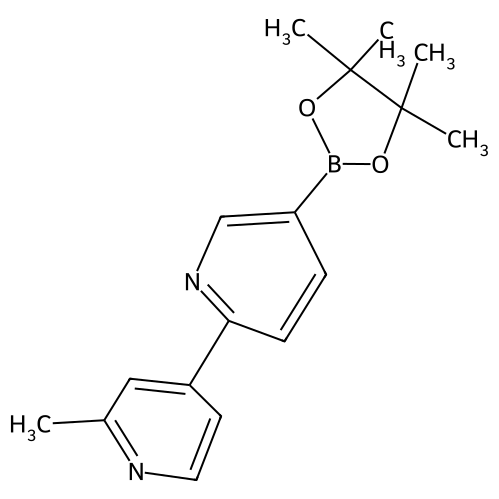 Cc1cc(-c2ccc(B3OC(C)(C)C(C)(C)O3)cn2)ccn1